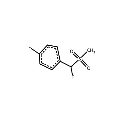 CS(=O)(=O)[C](F)c1ccc(F)cc1